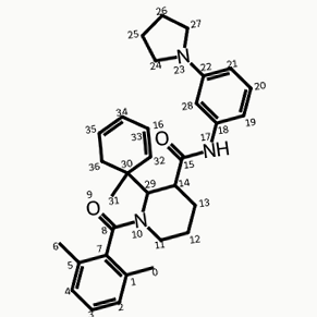 Cc1cccc(C)c1C(=O)N1CCCC(C(=O)Nc2cccc(N3CCCC3)c2)C1C1(C)C=CC=CC1